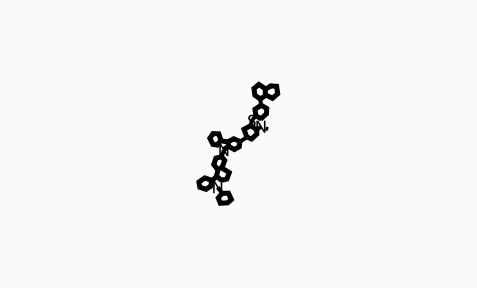 CN1c2ccc(-c3ccc4c(c3)c3ccccc3n4-c3ccc4c(ccc5c4c4ccccc4n5-c4ccccc4)c3)cc2Sc2cc(-c3cccc4ccccc34)ccc21